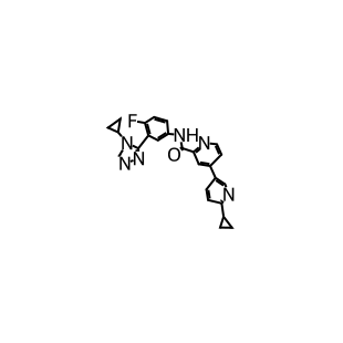 O=C(Nc1ccc(F)c(-c2nncn2C2CC2)c1)c1cc(-c2ccc(C3CC3)nc2)ccn1